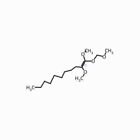 CCCCCCCCC/C(OC)=C(\OC)OCOC